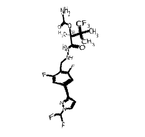 CC(C)(C(F)(F)F)[C@](C)(OC(N)=O)C(=O)NNCc1c(F)cc(-c2ccn(C(F)F)n2)cc1F